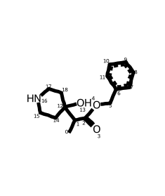 CC(C(=O)OCc1ccccc1)C1(O)CCNCC1